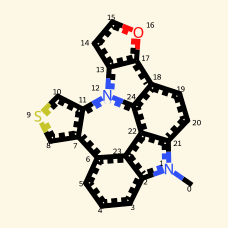 Cn1c2cccc3c4cscc4n4c5ccoc5c5ccc1c(c32)c54